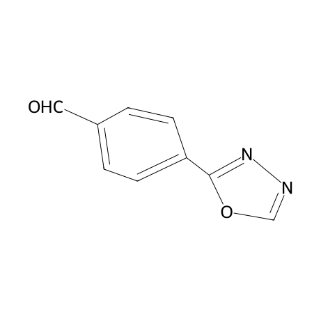 O=Cc1ccc(-c2nnco2)cc1